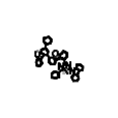 c1ccc(-c2cc(-c3cccc4c3oc3cccc(-c5nc(-c6ccccc6)nc(-n6c7ccccc7c7ccccc76)n5)c34)c3c(c2)oc2ccccc23)cc1